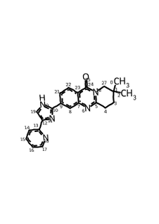 CC1(C)CCc2nc3cc(-c4nc(-c5ccccn5)c[nH]4)ccc3c(=O)n2C1